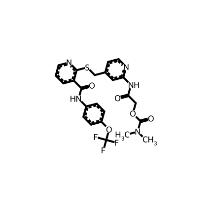 CN(C)C(=O)OCC(=O)Nc1cc(CSc2ncccc2C(=O)Nc2ccc(OC(F)(F)F)cc2)ccn1